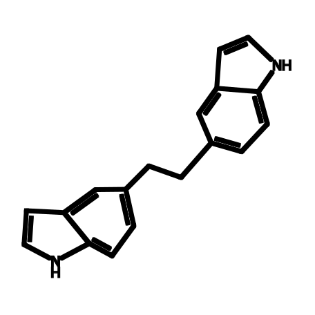 c1cc2cc(CCc3ccc4[nH]ccc4c3)ccc2[nH]1